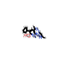 Cc1cc2nc(C)c3cc(-c4ccccc4)c(O)nc3n2n1